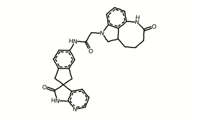 O=C(CN1CC2CCCC(=O)Nc3cccc1c32)Nc1ccc2c(c1)CC1(C2)C(=O)Nc2ncccc21